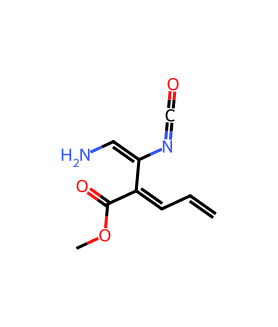 C=C/C=C(C(=O)OC)\C(=C/N)N=C=O